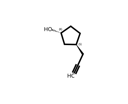 C#CC[C@@H]1CC[C@@H](O)C1